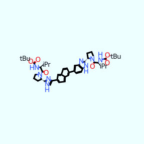 CC(C)[C@H](NC(=O)OC(C)(C)C)C(=O)N1CCC[C@H]1c1nc(-c2ccc3cc(-c4ccc5[nH]c([C@@H]6CCCN6C(=O)[C@@H](NC(=O)OC(C)(C)C)C(C)C)nc5c4)ccc3c2)c[nH]1